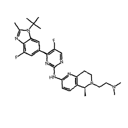 Cc1nc2c(F)cc(-c3nc(Nc4ccc5c(n4)CCN(CCN(C)C)[C@H]5C)ncc3F)cc2n1C(C)(C)C